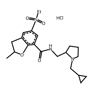 CCS(=O)(=O)c1cc2c(c(C(=O)NCC3CCCN3CC3CC3)c1)OC(C)C2.Cl